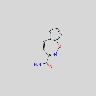 NC(=O)C1=NOc2ccccc2C=C1